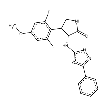 COc1cc(F)c(C2CNC(=O)[C@@H]2Nc2nnc(-c3ccccc3)o2)c(F)c1